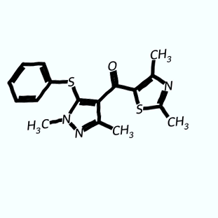 Cc1nc(C)c(C(=O)c2c(C)nn(C)c2Sc2ccccc2)s1